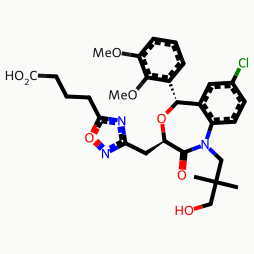 COc1cccc([C@H]2O[C@H](Cc3noc(CCCC(=O)O)n3)C(=O)N(CC(C)(C)CO)c3ccc(Cl)cc32)c1OC